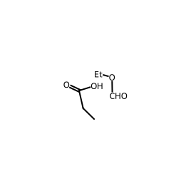 CCC(=O)O.CCOC=O